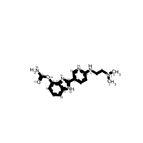 CN(C)CCNc1ccc(-c2nc3c(OC(N)=O)cccc3[nH]2)cn1